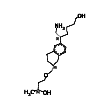 C[C@H](O)CCOC[C@@H]1CCc2cc([C@H](CN)CCCCO)ccc2C1